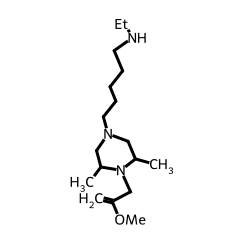 C=C(CN1C(C)CN(CCCCCNCC)CC1C)OC